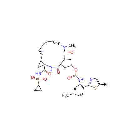 CCc1cnc(-c2ccc(C)cc2NC(=O)OC2CC3C(=O)NC4(C(=O)NS(=O)(=O)C5CC5)CC4/C=C/CCCCN(C)C(=O)C3C2)s1